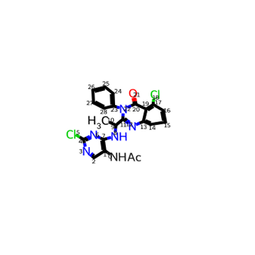 CC(=O)Nc1cnc(Cl)nc1NC(C)c1nc2cccc(Cl)c2c(=O)n1-c1ccccc1